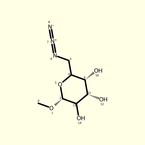 CO[C@@H]1OC(CN=[N+]=[N-])[C@H](O)[C@H](O)C1O